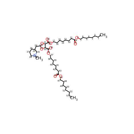 CCCCCCCCOC(=O)CCCCCCCOC(=O)C1OC(CC2CCCN(C)C2)OC1C(=O)OCCCCCCCC(=O)OCCCCCCCC